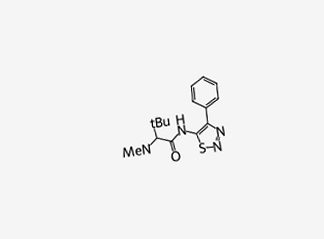 CNC(C(=O)Nc1snnc1-c1ccccc1)C(C)(C)C